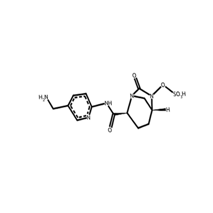 NCc1ccc(NC(=O)[C@@H]2CC[C@@H]3CN2C(=O)N3OS(=O)(=O)O)nc1